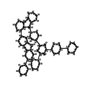 c1ccc(-c2ccc(-c3nc(-c4ccccc4)nc(-c4ccc(-n5c6ccccc6c6cccc(-c7ccc8c(c7)oc7ccc(-c9ccccc9)cc78)c65)cc4)n3)cc2)cc1